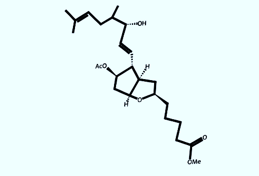 COC(=O)CCCC[C@@H]1C[C@@H]2[C@@H](/C=C/[C@@H](O)C(C)CC=C(C)C)[C@H](OC(C)=O)C[C@@H]2O1